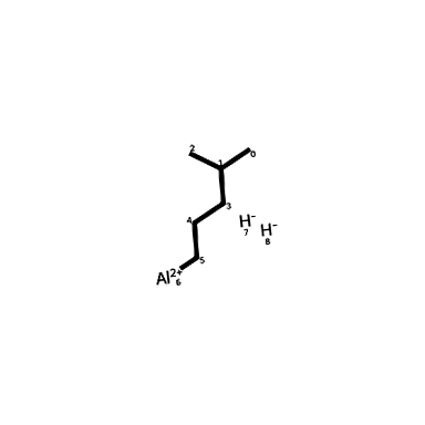 CC(C)CC[CH2][Al+2].[H-].[H-]